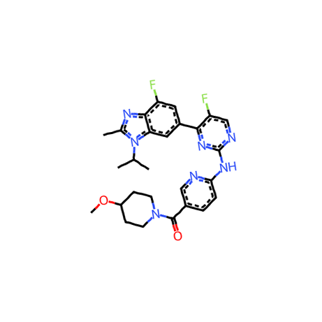 COC1CCN(C(=O)c2ccc(Nc3ncc(F)c(-c4cc(F)c5nc(C)n(C(C)C)c5c4)n3)nc2)CC1